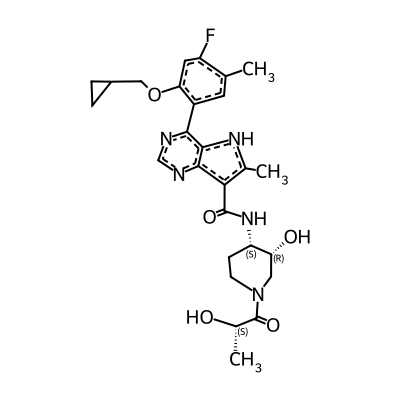 Cc1cc(-c2ncnc3c(C(=O)N[C@H]4CCN(C(=O)[C@H](C)O)C[C@H]4O)c(C)[nH]c23)c(OCC2CC2)cc1F